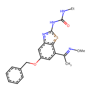 CCNC(=O)Nc1nc2cc(OCc3ccccc3)cc(C(C)=NOC)c2s1